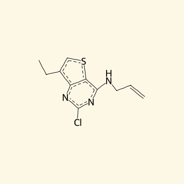 C=CCNc1nc(Cl)nc2c(CC)csc12